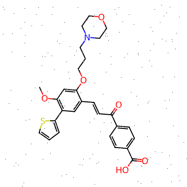 COc1cc(OCCCN2CCOCC2)c(/C=C/C(=O)c2ccc(C(=O)O)cc2)cc1-c1cccs1